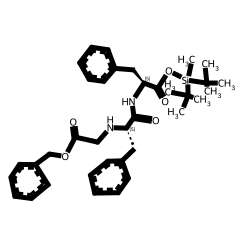 CC(C)(C)[Si](C)(OC(=O)[C@H](Cc1ccccc1)NC(=O)[C@H](Cc1ccccc1)NCC(=O)OCc1ccccc1)C(C)(C)C